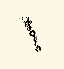 Cn1c([N+](=O)[O-])cnc1COC1=CCC(=NC=CCN2CCOCC2)C=C1